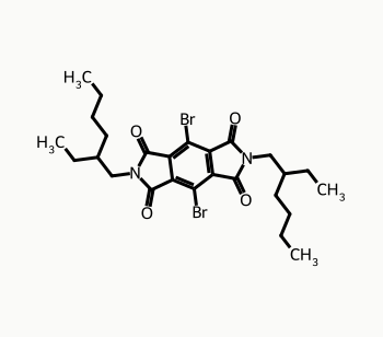 CCCCC(CC)Cn1c(=O)c2c(Br)c3c(=O)n(CC(CC)CCCC)c(=O)c3c(Br)c2c1=O